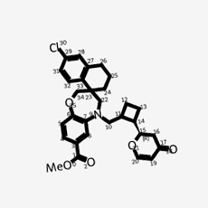 COC(=O)c1ccc2c(c1)N(CC1CCC1[C@H]1CC(=O)C=CO1)CC1(CCCc3cc(Cl)ccc31)CO2